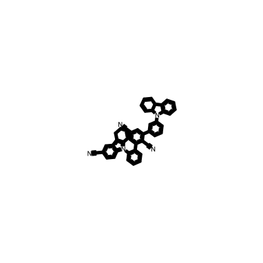 N#Cc1cc(-c2cccc(N3c4ccccc4C4C=CC=CC43)c2)c(C#N)c(-c2ccccc2-n2c3c(c4cc(C#N)ccc42)CCC=C3)c1